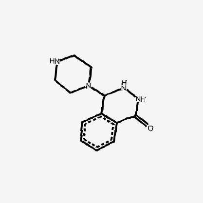 O=C1NNC(N2CCNCC2)c2ccccc21